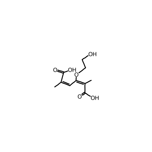 CC(=CC(OCCO)=C(C)C(=O)O)C(=O)O